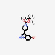 CC(C)(C)OC(=O)N1CC=C(c2c[nH]c3ccc(Br)cc23)CC1